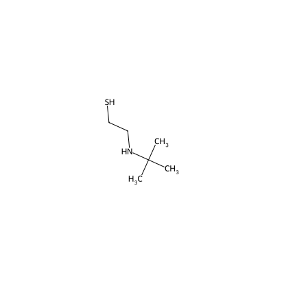 CC(C)(C)NCCS